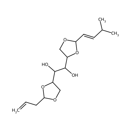 C=CCC1OCC(C(O)C(O)C2COC(C=CC(C)C)O2)O1